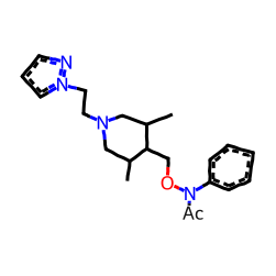 CC(=O)N(OCC1C(C)CN(CCn2cccn2)CC1C)c1ccccc1